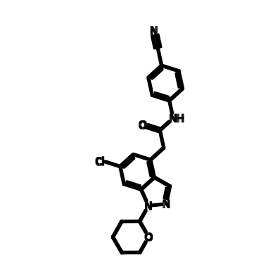 N#Cc1ccc(NC(=O)Cc2cc(Cl)cc3c2cnn3C2CCCCO2)cc1